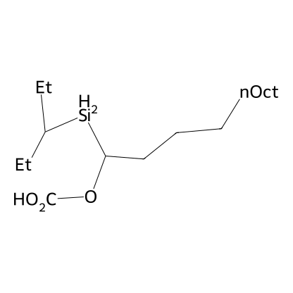 CCCCCCCCCCCC(OC(=O)O)[SiH2]C(CC)CC